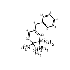 NC1(N)C=CC(Cc2ccccc2)=CC1(N)N